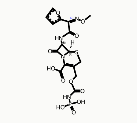 CO/N=C(\C(=O)N[C@@H]1C(=O)N2C(C(=O)O)=C(COC(=O)NP(=O)(O)O)CS[C@H]12)c1ccco1